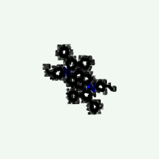 CCc1ccc(N(c2cc(-c3ccccc3)cc(-c3ccccc3)c2)c2ccc3ccc4c(N(c5ccc(CC)cc5)c5cc(-c6ccccc6)cc(-c6ccccc6)c5)ccc5ccc2c3c54)cc1